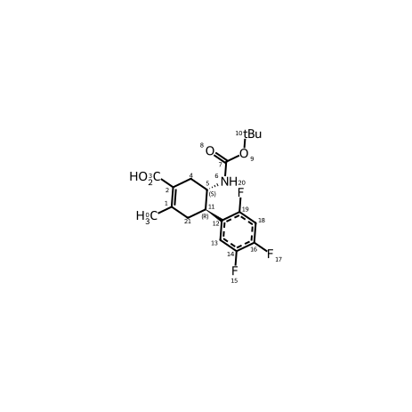 CC1=C(C(=O)O)C[C@H](NC(=O)OC(C)(C)C)[C@@H](c2cc(F)c(F)cc2F)C1